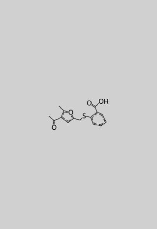 CC(=O)c1cc(CSc2ccccc2C(=O)O)oc1C